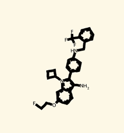 Nc1c(-c2ccc(NCc3ccccc3C(F)(F)F)cc2)n(C2CCC2)c2cc(OCCF)ccc12